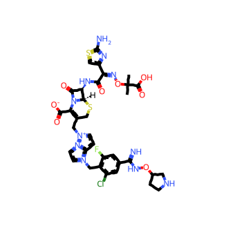 CC(C)(O/N=C(\C(=O)N[C@@H]1C(=O)N2C(C(=O)[O-])=C(C[n+]3ccc4n(Cc5c(F)cc(C(=N)NOC6CCNC6)cc5Cl)ccn43)CS[C@H]12)c1csc(N)n1)C(=O)O